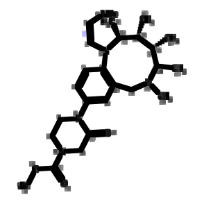 CN/C=C\N1c2ccc(N3CCN(C(=O)OC(C)(C)C)CC3=O)cc2CN(C)C(C)[C@@H](C)[C@@H](C)[C@@H]1C